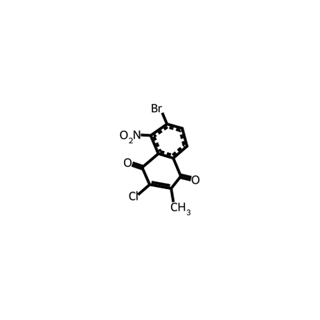 CC1=C(Cl)C(=O)c2c(ccc(Br)c2[N+](=O)[O-])C1=O